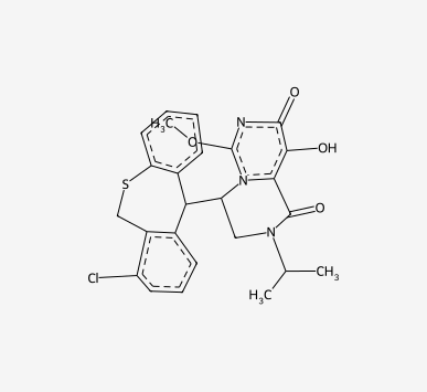 COc1nc(=O)c(O)c2n1C(C1c3ccccc3SCc3c(Cl)cccc31)CN(C(C)C)C2=O